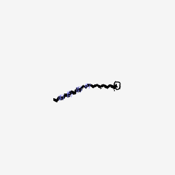 CC/C=C/C/C=C/C/C=C/C/C=C/CCCCCC[C]=O